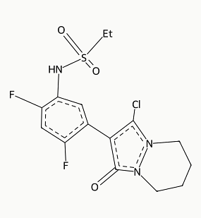 CCS(=O)(=O)Nc1cc(-c2c(Cl)n3n(c2=O)CCCC3)c(F)cc1F